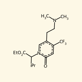 CCOC(=O)C(C(C)C)n1cc(CCN(C)C)c(C(F)(F)F)cc1=O